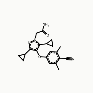 Cc1cc(Oc2c(C3CC3)nn(CC(N)=O)c2C2CC2)cc(C)c1C#N